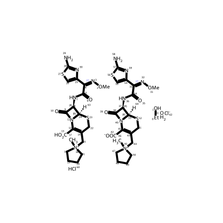 CCO.CO/N=C(\C(=O)N[C@@H]1C(=O)N2C(C(=O)O)=C(C[N+]3(C)CCCC3)CS[C@H]12)c1csc(N)n1.CO/N=C(\C(=O)N[C@@H]1C(=O)N2C(C(=O)[O-])=C(C[N+]3(C)CCCC3)CS[C@H]12)c1csc(N)n1.Cl.O.[Cl-]